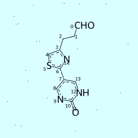 O=CCCc1csc(-c2cnc(=O)[nH]c2)n1